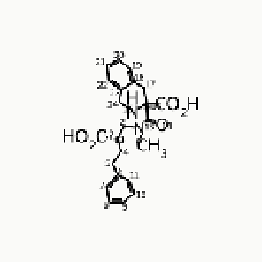 CN(C[C@H](CCc1ccccc1)C(=O)O)C(=O)C1(C(=O)O)Cc2ccccc2CN1